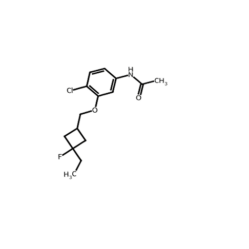 CCC1(F)CC(COc2cc(NC(C)=O)ccc2Cl)C1